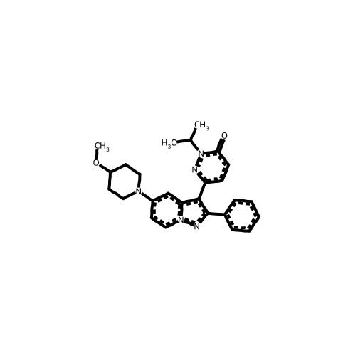 COC1CCN(c2ccn3nc(-c4ccccc4)c(-c4ccc(=O)n(C(C)C)n4)c3c2)CC1